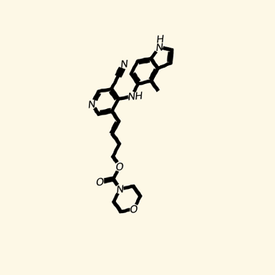 Cc1c(Nc2c(C#N)cncc2C=CCCOC(=O)N2CCOCC2)ccc2[nH]ccc12